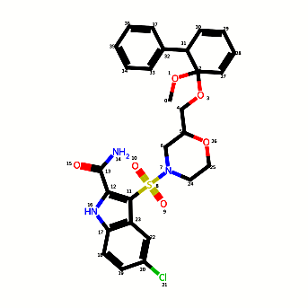 COC1(OCC2CN(S(=O)(=O)c3c(C(N)=O)[nH]c4ccc(Cl)cc34)CCO2)C=CC=CC1c1ccccc1